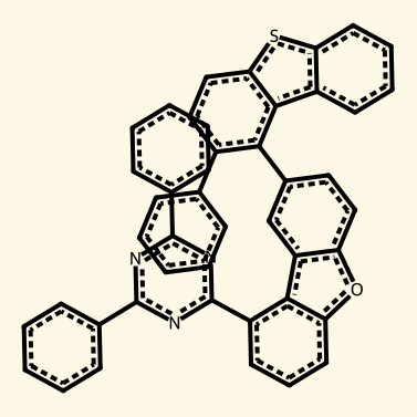 c1ccc(-c2nc(-c3ccccc3)nc(-c3cccc4oc5ccc(-c6c(-c7ccccc7)ccc7sc8ccccc8c67)cc5c34)n2)cc1